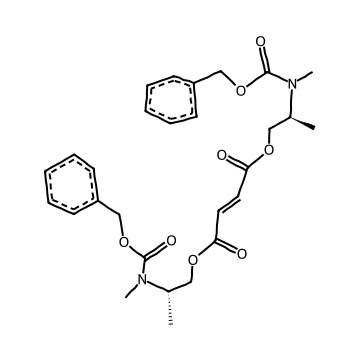 C[C@@H](COC(=O)/C=C/C(=O)OC[C@H](C)N(C)C(=O)OCc1ccccc1)N(C)C(=O)OCc1ccccc1